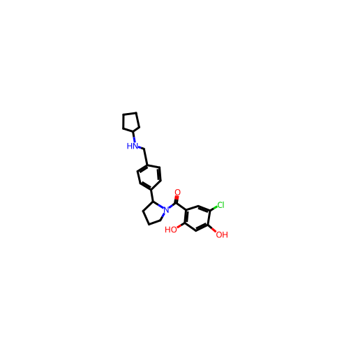 O=C(c1cc(Cl)c(O)cc1O)N1CCCC1c1ccc(CNC2CCCC2)cc1